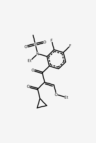 CCOC=C(C(=O)c1ccc(F)c(F)c1N(CC)S(C)(=O)=O)C(=O)C1CC1